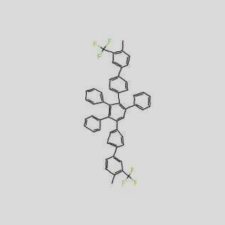 Cc1ccc(-c2ccc(-c3cc(-c4ccccc4)c(-c4ccc(-c5ccc(C)c(C(F)(F)F)c5)cc4)c(-c4ccccc4)c3-c3ccccc3)cc2)cc1C(F)(F)F